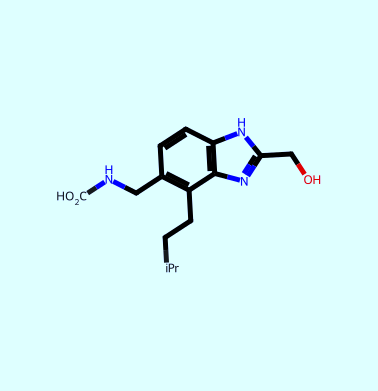 CC(C)CCc1c(CNC(=O)O)ccc2[nH]c(CO)nc12